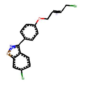 BrC/C=C/COc1ccc(-c2nsc3cc(Br)ccc23)cc1